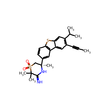 CC#Cc1cc2c(cc1C(C)C)sc1ccc([C@]3(C)CS(=O)(=O)C(C)(C)C(=N)N3)cc12